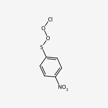 O=[N+]([O-])c1ccc(SOOCl)cc1